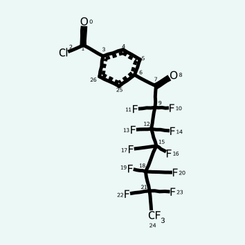 O=C(Cl)c1ccc(C(=O)C(F)(F)C(F)(F)C(F)(F)C(F)(F)C(F)(F)C(F)(F)F)cc1